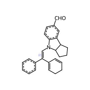 O=Cc1ccc2c(c1)C1CCCC1N2/C=C(\C1=CCCC=C1)c1ccccc1